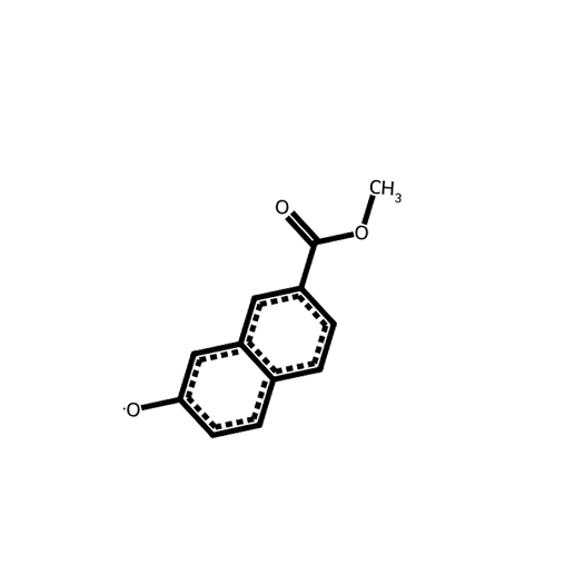 COC(=O)c1ccc2ccc([O])cc2c1